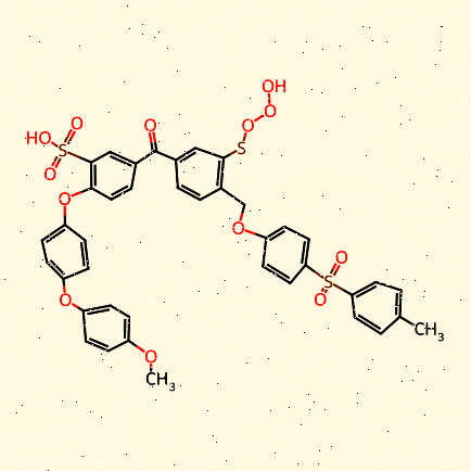 COc1ccc(Oc2ccc(Oc3ccc(C(=O)c4ccc(COc5ccc(S(=O)(=O)c6ccc(C)cc6)cc5)c(SOOO)c4)cc3S(=O)(=O)O)cc2)cc1